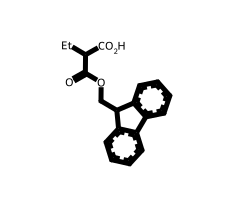 CCC(C(=O)O)C(=O)OCC1c2ccccc2-c2ccccc21